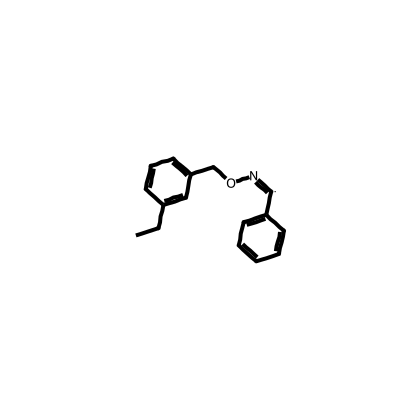 CCc1cccc(CO/N=[C]\c2ccccc2)c1